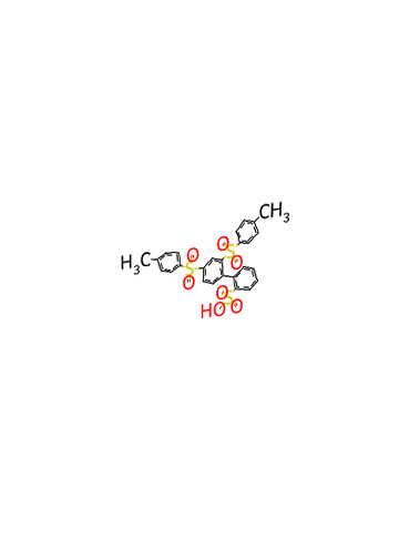 Cc1ccc(S(=O)(=O)c2ccc(-c3ccccc3S(=O)(=O)O)c(S(=O)(=O)c3ccc(C)cc3)c2)cc1